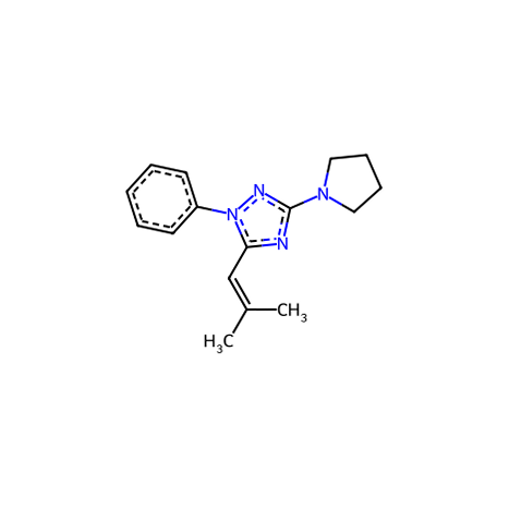 CC(C)=Cc1nc(N2CCCC2)nn1-c1ccccc1